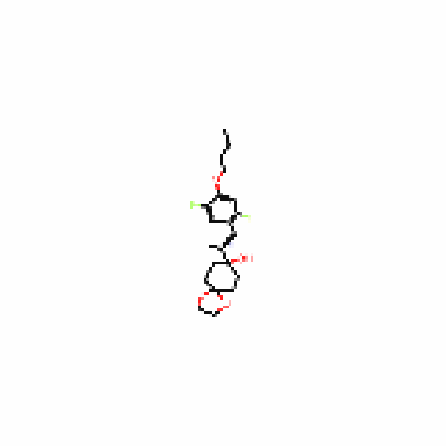 CCCCOc1cc(F)c(/C=C(\C)C2(O)CCC3(CC2)OCCO3)cc1F